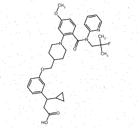 COc1ccc(C(=O)N(CC(C)(C)F)c2ccccn2)c(N2CCC(COc3cccc(C(CC(=O)O)C4CC4)c3)CC2)c1